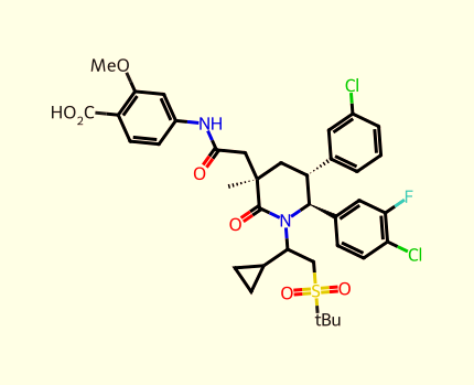 COc1cc(NC(=O)C[C@@]2(C)C[C@H](c3cccc(Cl)c3)[C@@H](c3ccc(Cl)c(F)c3)N(C(CS(=O)(=O)C(C)(C)C)C3CC3)C2=O)ccc1C(=O)O